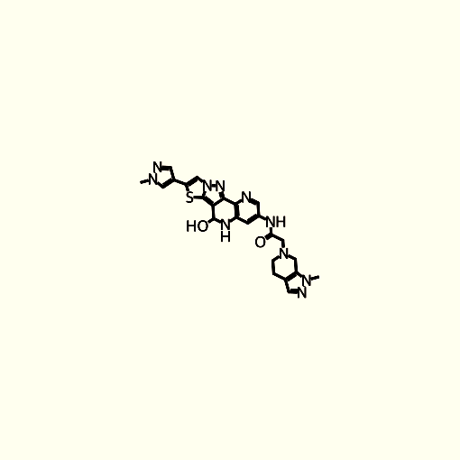 Cn1cc(-c2cn3nc4c(c3s2)C(O)Nc2cc(NC(=O)CN3CCc5cnn(C)c5C3)cnc2-4)cn1